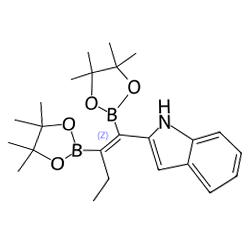 CC/C(B1OC(C)(C)C(C)(C)O1)=C(/B1OC(C)(C)C(C)(C)O1)c1cc2ccccc2[nH]1